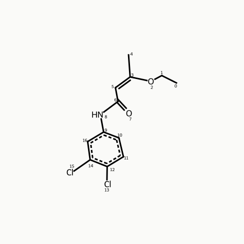 CCO/C(C)=C\C(=O)Nc1ccc(Cl)c(Cl)c1